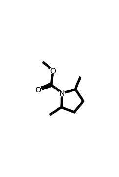 COC(=O)N1C(C)CCC1C